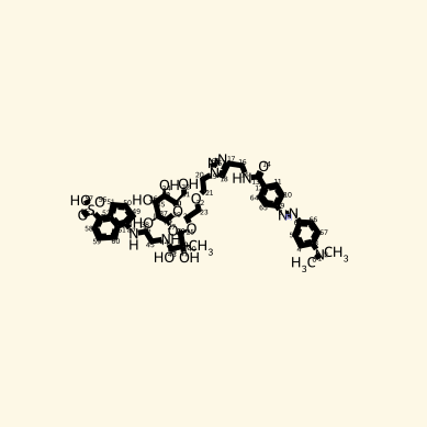 CN(C)c1ccc(/N=N/c2ccc(C(=O)NCc3cn(CCOCCO[C@H](O[C@@H]4O[C@H](CO)[C@H](O)[C@H](O)[C@H]4O)[C@@](C)(O)C(O)NCCNc4cccc5c(S(=O)(=O)O)cccc45)nn3)cc2)cc1